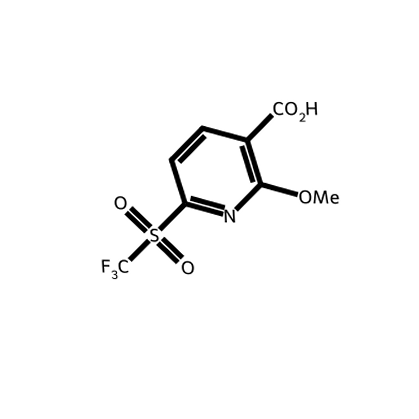 COc1nc(S(=O)(=O)C(F)(F)F)ccc1C(=O)O